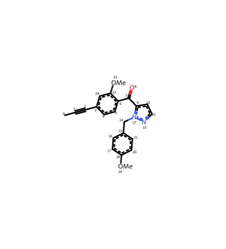 CC#Cc1ccc(C(=O)c2ccnn2Cc2ccc(OC)cc2)c(OC)c1